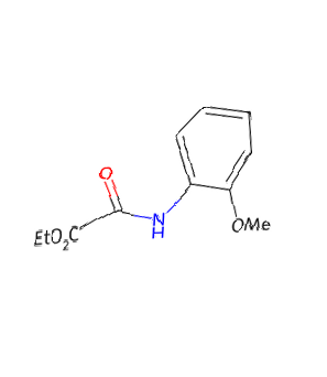 CCOC(=O)C(=O)Nc1ccccc1OC